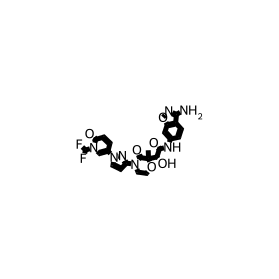 CC1(C(O)C(=O)Nc2ccc3c(N)noc3c2)OCCN(c2ccn(-c3ccc(=O)n(C(F)F)c3)n2)C1=O